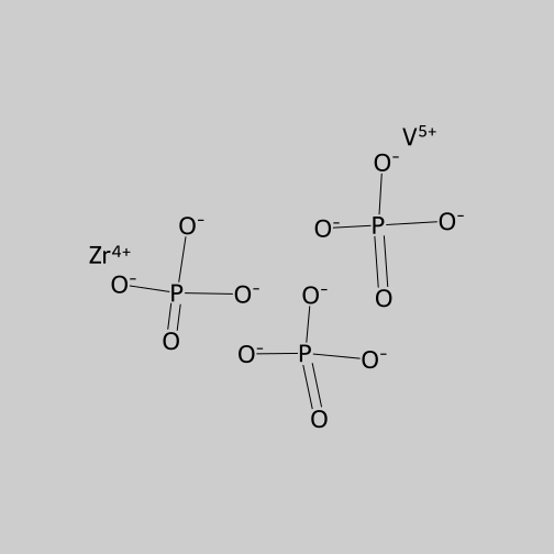 O=P([O-])([O-])[O-].O=P([O-])([O-])[O-].O=P([O-])([O-])[O-].[V+5].[Zr+4]